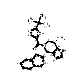 C[C@H]1CN(C(=O)c2nnc(C(C)(C)C)o2)[C@@H](c2cc3ccccc3cn2)c2nc[nH]c21